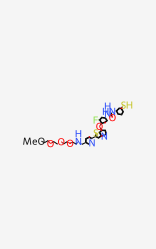 COCCOCCOCCOCCNCc1ccc(-c2cc3nccc(Oc4ccc(NC(=O)Nc5cccc(S)c5)cc4F)c3s2)nc1